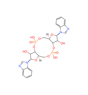 O=P1(O)OC[C@H]2O[C@@H](n3cnc4ccccc43)C(O)C2OP(=O)(O)OC[C@H]2O[C@@H](n3cnc4ccccc43)C(O)C2O1